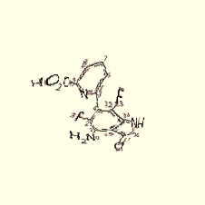 Nc1c(F)c(-c2cccc(C(=O)O)n2)c(F)c2[nH]cc(Cl)c12